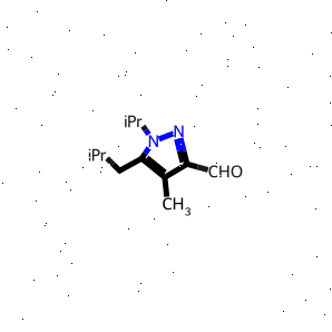 Cc1c(C=O)nn(C(C)C)c1CC(C)C